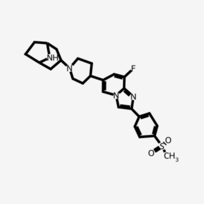 CS(=O)(=O)c1ccc(-c2cn3cc(C4CCN(C5CC6CCC(C5)N6)CC4)cc(F)c3n2)cc1